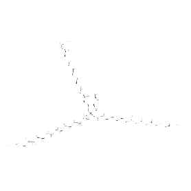 CCCCCCCCCCCCCCCC[Si](CCCCl)(CCCCCCCCCCCCCCCC)CCCCCCCCCCCCCCCC